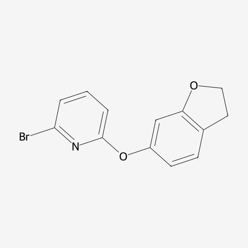 Brc1cccc(Oc2ccc3c(c2)OCC3)n1